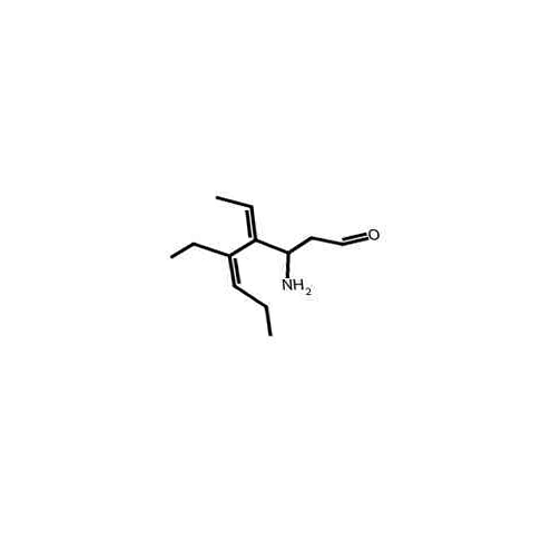 C/C=C(\C(=C/CC)CC)C(N)CC=O